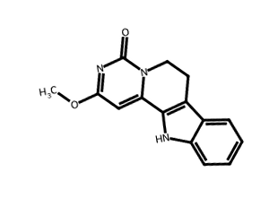 COc1cc2n(c(=O)n1)CCc1c-2[nH]c2ccccc12